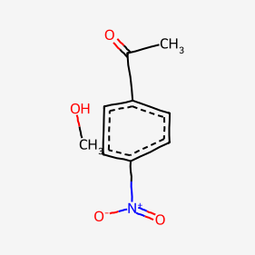 CC(=O)c1ccc([N+](=O)[O-])cc1.CO